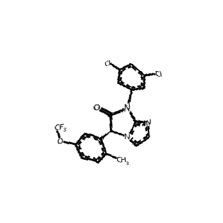 Cc1ccc(OC(F)(F)F)cc1[C@H]1C(=O)N(c2cc(Cl)cc(Cl)c2)c2nccn21